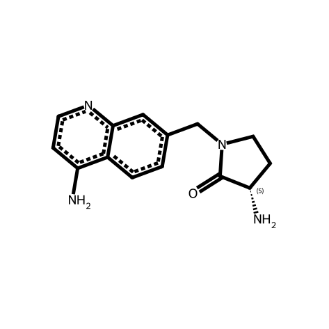 Nc1ccnc2cc(CN3CC[C@H](N)C3=O)ccc12